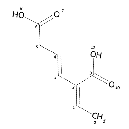 CC=C(C=CCC(=O)O)C(=O)O